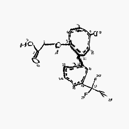 O=C(O)COc1ccc(Cl)cc1-c1cccc(C(F)(F)F)c1